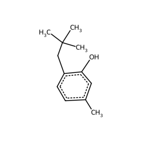 Cc1ccc(CC(C)(C)C)c(O)c1